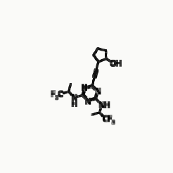 C[C@@H](Nc1nc(C#CC2CCCC2O)nc(N[C@H](C)C(F)(F)F)n1)C(F)(F)F